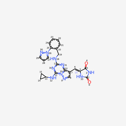 O=C1NC(=O)/C(=C/c2cnn3c(NC4CC4)nc(NCc4ccccc4-n4cccn4)nc23)N1